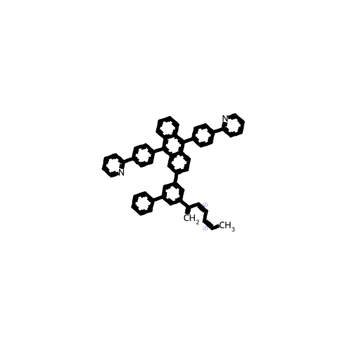 C=C(/C=C\C=C/C)c1cc(-c2ccccc2)cc(-c2ccc3c(-c4ccc(-c5ccccn5)cc4)c4ccccc4c(-c4ccc(-c5ccccn5)cc4)c3c2)c1